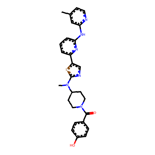 Cc1ccnc(Nc2cccc(-c3cnc(N(C)C4CCN(C(=O)c5ccc(O)cc5)CC4)s3)n2)c1